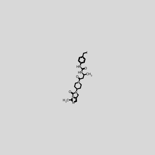 Cc1ncc2n1C(=O)N(C1CCN(C(=O)CC(C)NC(=O)Nc3ccc(CI)cc3)CC1)C2